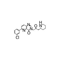 O=C(C[C@@H]1CCCCN1)Cn1cnc2ccc(-c3cccc(Cl)c3)nc2c1=O